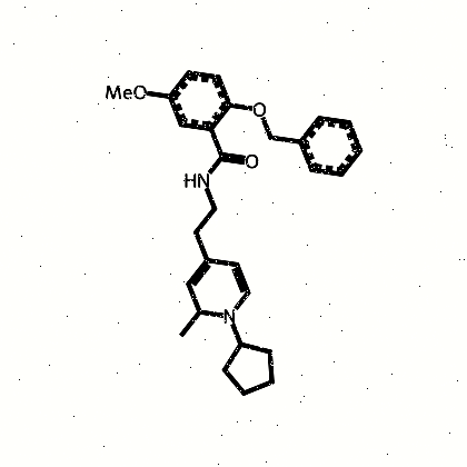 COc1ccc(OCc2ccccc2)c(C(=O)NCCC2=CC(C)N(C3CCCC3)C=C2)c1